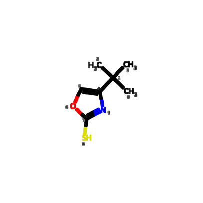 CC(C)(C)c1coc(S)n1